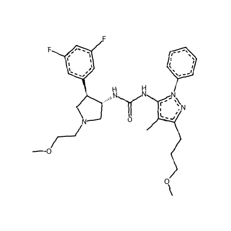 COCCCc1nn(-c2ccccc2)c(NC(=O)N[C@@H]2CN(CCOC)C[C@H]2c2cc(F)cc(F)c2)c1C